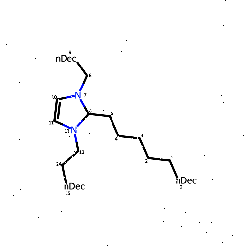 CCCCCCCCCCCCCCCC1N(CCCCCCCCCCC)C=CN1CCCCCCCCCCCC